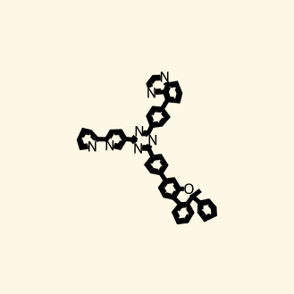 CC1(c2ccccc2)Oc2cc(-c3ccc(-c4nc(-c5ccc(-c6cccc7nccnc67)cc5)nc(-c5ccc(-c6ccccn6)nc5)n4)cc3)ccc2-c2ccccc21